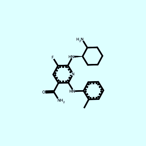 Cc1ccccc1Nc1nc(N[C@@H]2CCCCC2N)c(F)cc1C(N)=O